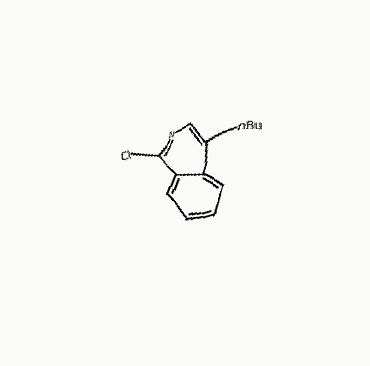 CCCCc1cnc(Cl)c2ccccc12